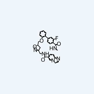 CNC(=O)c1ccc(-c2ccccc2OCC2CC(CNC(=O)c3ccc4nccn4c3)=NO2)cc1F